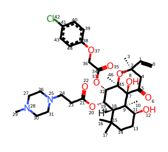 C=C[C@@]1(C)CC(=O)[C@]2(O)[C@@]3(C)[C@@H](O)CCC(C)(C)[C@@H]3[C@H](OC(=O)CCN3CCN(C)CC3)[C@H](OC(=O)COc3ccc(Cl)cc3)[C@@]2(C)O1